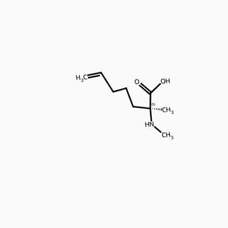 C=CCCC[C@](C)(NC)C(=O)O